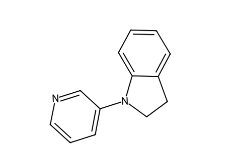 c1cncc(N2CCc3ccccc32)c1